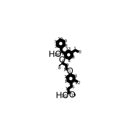 CCc1ccc(O[C@H](C)CCOc2ccc(CCC(=O)O)c(C)c2)c(C(O)c2ccccc2)c1